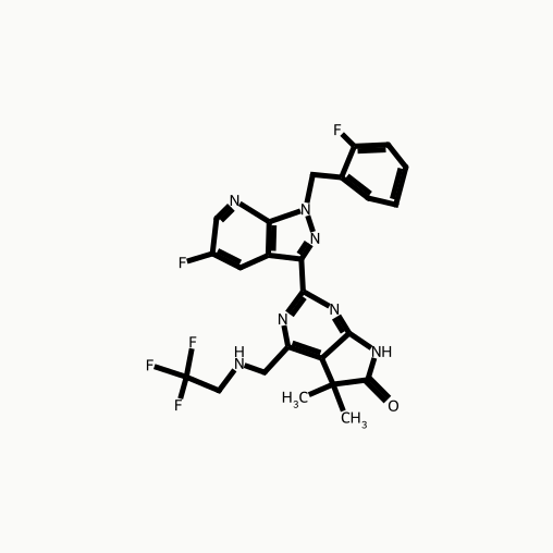 CC1(C)C(=O)Nc2nc(-c3nn(Cc4ccccc4F)c4ncc(F)cc34)nc(CNCC(F)(F)F)c21